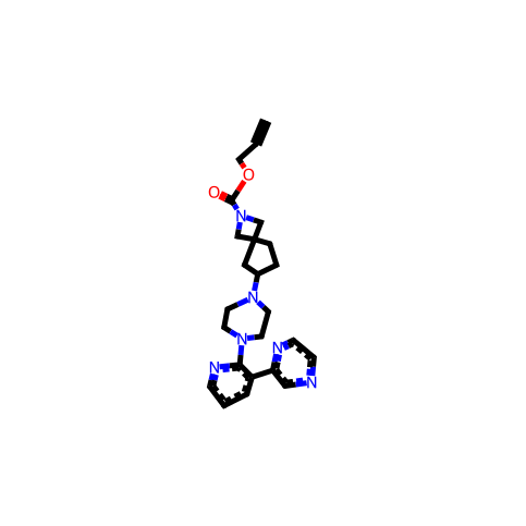 C#CCOC(=O)N1CC2(CCC(N3CCN(c4ncccc4-c4cnccn4)CC3)C2)C1